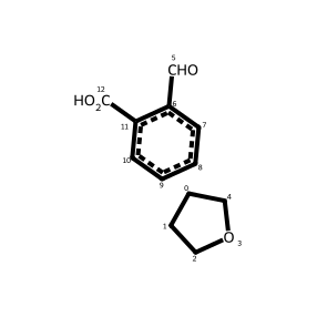 C1CCOC1.O=Cc1ccccc1C(=O)O